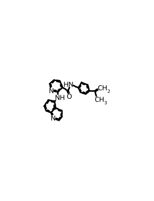 C=C(C)c1ccc(NC(=O)c2cccnc2Nc2cccc3ncccc23)cc1